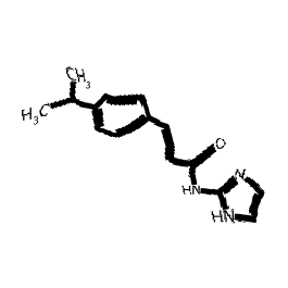 CC(C)c1ccc(/C=C/C(=O)Nc2ncc[nH]2)cc1